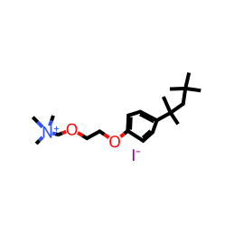 CC(C)(C)CC(C)(C)c1ccc(OCCOC[N+](C)(C)C)cc1.[I-]